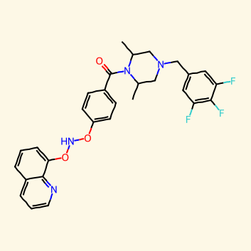 CC1CN(Cc2cc(F)c(F)c(F)c2)CC(C)N1C(=O)c1ccc(ONOc2cccc3cccnc23)cc1